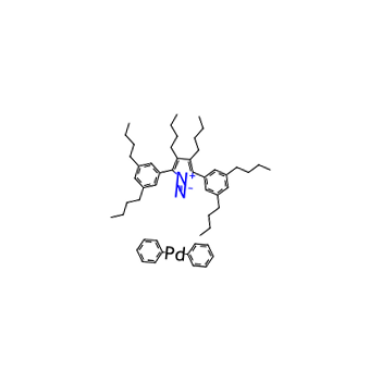 CCCCC1=C(c2cc(CCCC)cc(CCCC)c2)[N+](=[N-])C(c2cc(CCCC)cc(CCCC)c2)=C1CCCC.c1cc[c]([Pd][c]2ccccc2)cc1